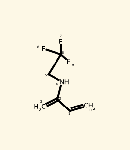 C=CC(=C)NCC(F)(F)F